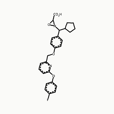 O=C(O)C1ON1C(c1ccc(OCc2cccc(Oc3ccc(F)cc3)n2)cc1)C1CCCC1